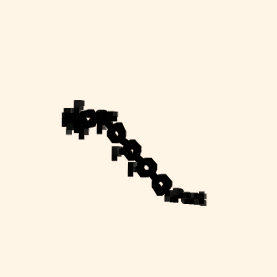 CCCCCc1ccc(-c2ccc(-c3ccc(-c4ccc(C(F)(F)Oc5cc(F)c(S(F)(F)(F)(F)F)c(F)c5)cc4)c(F)c3)c(F)c2)cc1